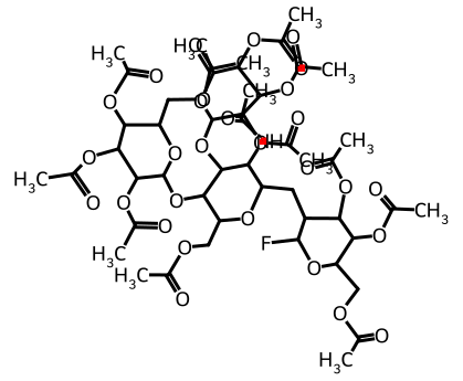 CC(=O)NC1C(CC2C(F)OC(COC(C)=O)C(OC(C)=O)C2OC(C)=O)OC(COC(C)=O)C(OC2OC(COC(C)=O)C(OC(C)=O)C(OC(C)=O)C2OC(C)=O)C1OC1OC(C)C(OC(C)=O)C(OC(C)=O)C1OC(C)=O